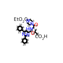 CCOC(=O)N1CCN(C(=O)[C@H](CCCC(=O)O)NC(=O)c2cc(-c3ccccc3)nc(-c3ccccc3)n2)CC1